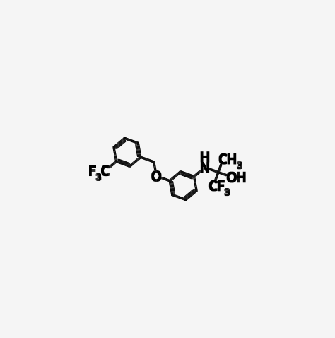 CC(O)(Nc1cccc(OCc2cccc(C(F)(F)F)c2)c1)C(F)(F)F